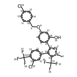 Cn1nc(-c2ccc(OCc3ccc(Cl)cc3)cc2O)c(-c2ccc(C(F)(F)F)c(Cl)c2)c1C(F)(F)F